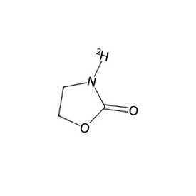 [2H]N1CCOC1=O